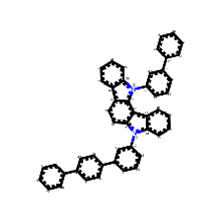 c1ccc(-c2ccc(-c3cccc(-n4c5ccccc5c5c4ccc4c6ccccc6n(-c6cccc(-c7ccccc7)c6)c45)c3)cc2)cc1